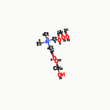 CC[N+](CC)(CC)CC.[C]=O.[C]=O.[C]=O.[C]=O.[O]=[Co-][OH]